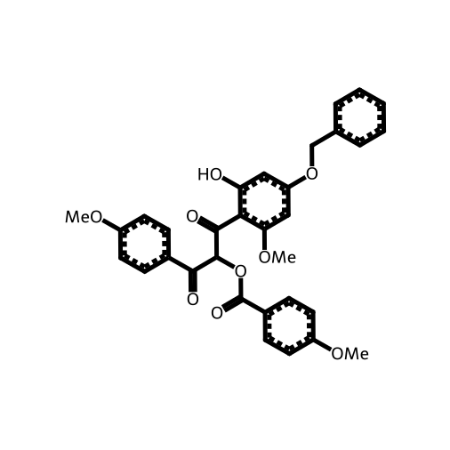 COc1ccc(C(=O)OC(C(=O)c2ccc(OC)cc2)C(=O)c2c(O)cc(OCc3ccccc3)cc2OC)cc1